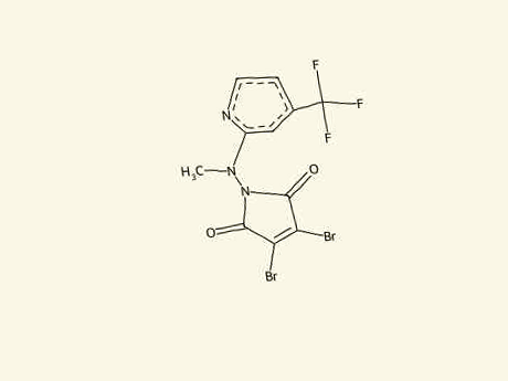 CN(c1cc(C(F)(F)F)ccn1)N1C(=O)C(Br)=C(Br)C1=O